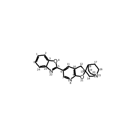 c1ccc2oc(-c3cnc4c(c3)C[C@@]3(CN5CCC3CC5)O4)nc2c1